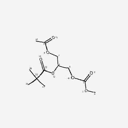 COC(=O)OCC(COC(C)=O)OC(=O)C(C)(C)C